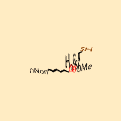 CCCCCCCCCCCCCCCOO[Si](C)(CCCS)OC